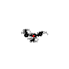 COc1ccc2cc([C@@H]3CCN(C[C@H](O)COc4cccc5[nH]c(C(N)=O)cc45)[C@H](C)C3)sc2c1.O=C(O)C(=O)O